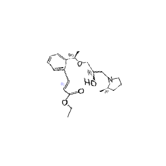 CCOC(=O)/C=C/c1ccccc1[C@@H](C)OC[C@H](O)CN1CCC[C@H]1C